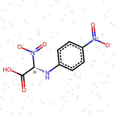 O=C(O)[C@@H](Nc1ccc([N+](=O)[O-])cc1)[N+](=O)[O-]